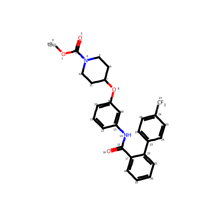 CC(C)(C)OC(=O)N1CCC(Oc2cccc(NC(=O)c3ccccc3-c3ccc(C(F)(F)F)cc3)c2)CC1